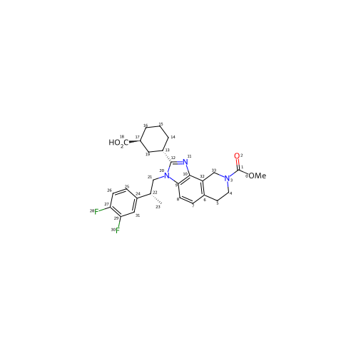 COC(=O)N1CCc2ccc3c(nc([C@H]4CCC[C@H](C(=O)O)C4)n3C[C@H](C)c3ccc(F)c(F)c3)c2C1